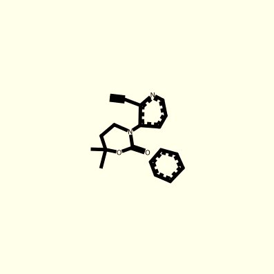 C#Cc1ncccc1N1CCC(C)(C)OC1=O.c1ccccc1